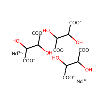 O=C([O-])C(O)C(O)C(=O)[O-].O=C([O-])C(O)C(O)C(=O)[O-].O=C([O-])C(O)C(O)C(=O)[O-].[Nd+3].[Nd+3]